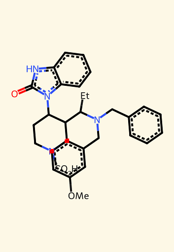 CCC(C1CN(C(=O)O)CCC1n1c(=O)[nH]c2ccccc21)N(Cc1ccccc1)Cc1cccc(OC)c1